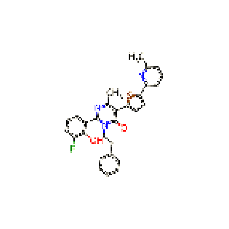 Cc1cccc(-c2ccc(-c3c(C)nc(-c4cccc(F)c4O)n(CCc4ccccc4)c3=O)s2)n1